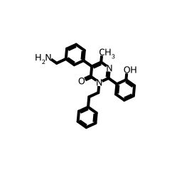 Cc1nc(-c2ccccc2O)n(CCc2ccccc2)c(=O)c1-c1cccc(CN)c1